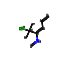 C=C/C=C(/N=C)C(C)(C)Cl